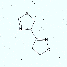 [C]1=NC(C2=NOCC2)CS1